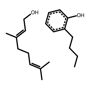 CC(C)=CCCC(C)=CCO.CCCCc1ccccc1O